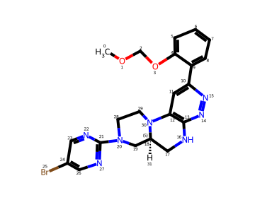 COCOc1ccccc1-c1cc2c(nn1)NC[C@H]1CN(c3ncc(Br)cn3)CCN21